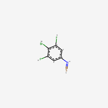 Fc1cc(N=S)cc(F)c1Br